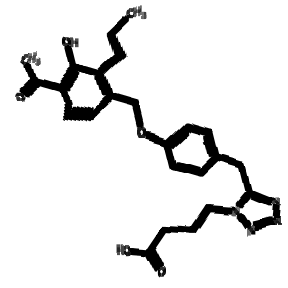 CCCc1c(COc2ccc(Cc3nnnn3CCCC(=O)O)cc2)ccc(C(C)=O)c1O